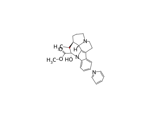 CC[C@]12CCCN3CCc4c(n(c5ccccc45)[C@@](O)(C(=O)OC)C1)[C@@H]32.c1ccncc1